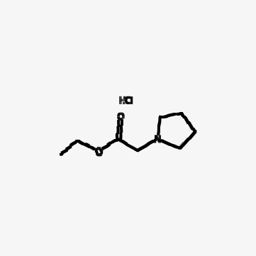 CCOC(=O)CN1CCCC1.Cl